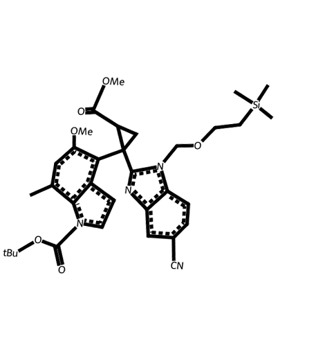 COC(=O)C1CC1(c1c(OC)cc(C)c2c1ccn2C(=O)OC(C)(C)C)c1nc2cc(C#N)ccc2n1COCC[Si](C)(C)C